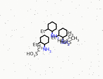 CCC1CCCCC1N.CCC1CCCCC1N.CCC1CCCCC1N.CS(=O)(=O)O.CS(=O)(=O)O.CS(=O)(=O)O